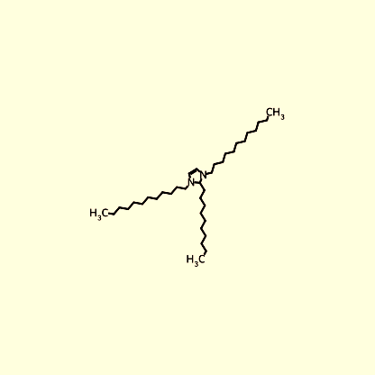 CCCCCCCCCCCCN1C=CN(CCCCCCCCCCCC)C1CCCCCCCCCC